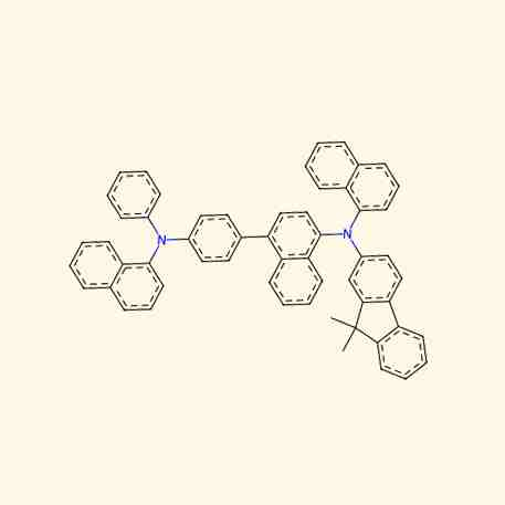 CC1(C)c2ccccc2-c2ccc(N(c3cccc4ccccc34)c3ccc(-c4ccc(N(c5ccccc5)c5cccc6ccccc56)cc4)c4ccccc34)cc21